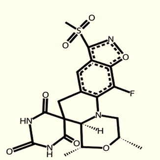 C[C@H]1CN2c3c(cc4c(S(C)(=O)=O)noc4c3F)CC3(C(=O)NC(=O)NC3=O)[C@@H]2[C@@H](C)O1